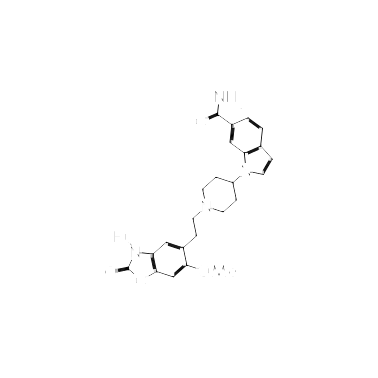 CCn1c(=O)oc2cc(OC)c(CCN3CCC(n4ccc5ccc(C(N)=O)cc54)CC3)cc21